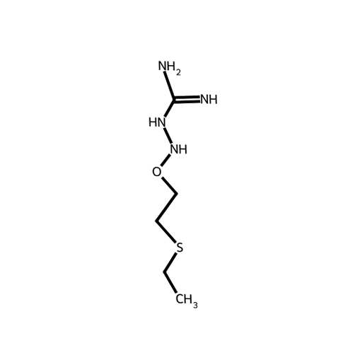 CCSCCONNC(=N)N